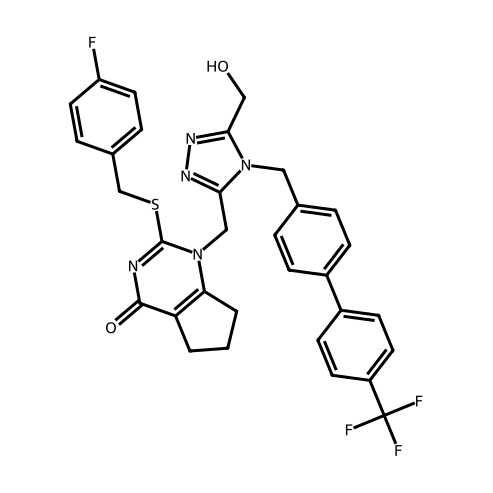 O=c1nc(SCc2ccc(F)cc2)n(Cc2nnc(CO)n2Cc2ccc(-c3ccc(C(F)(F)F)cc3)cc2)c2c1CCC2